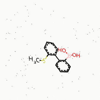 CSc1ccccc1-c1ccccc1B(O)O